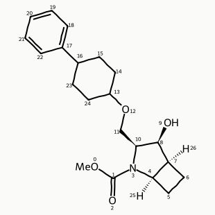 COC(=O)N1[C@@H]2CC[C@@H]2[C@H](O)[C@@H]1COC1CCC(c2ccccc2)CC1